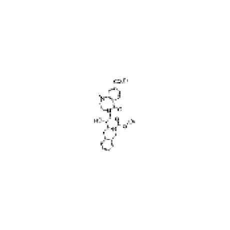 CCOC(=O)c1ccc2c(c1)N(C)CCN(CC(O)[C@@H]1Cc3ccccc3CN1C(=O)OC(C)(C)C)C2=O